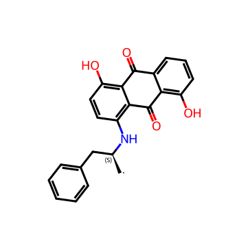 [CH2][C@@H](Cc1ccccc1)Nc1ccc(O)c2c1C(=O)c1c(O)cccc1C2=O